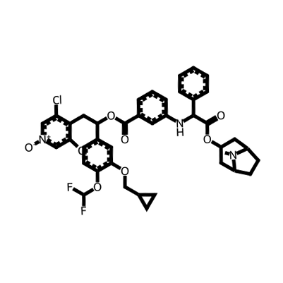 CN1C2CCC1CC(OC(=O)C(Nc1cccc(C(=O)OC(Cc3c(Cl)c[n+]([O-])cc3Cl)c3ccc(OC(F)F)c(OCC4CC4)c3)c1)c1ccccc1)C2